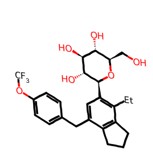 CCc1c([C@@H]2O[C@H](CO)[C@@H](O)[C@H](O)[C@H]2O)cc(Cc2ccc(OC(F)(F)F)cc2)c2c1CCC2